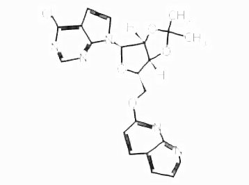 CC1(C)O[C@@H]2[C@H](O1)[C@@H](COc1ccc3cccnc3n1)O[C@H]2n1ccc2c(Cl)ncnc21